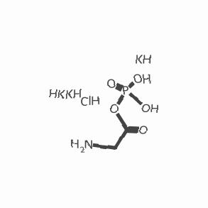 Cl.NCC(=O)OP(=O)(O)O.[KH].[KH].[KH]